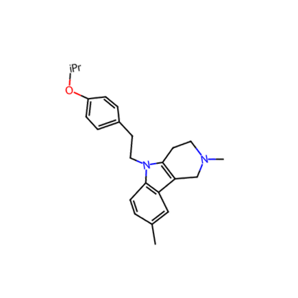 Cc1ccc2c(c1)c1c(n2CCc2ccc(OC(C)C)cc2)CCN(C)C1